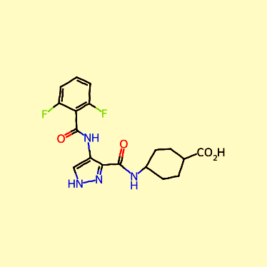 O=C(NC1CCC(C(=O)O)CC1)c1n[nH]cc1NC(=O)c1c(F)cccc1F